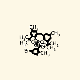 Cc1cc2c(c(C(C)(C)C)c1)OP(=O)(C(=O)c1cc(Br)ccc1C)Oc1c(cc(C)cc1C(C)(C)C)C2